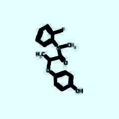 CC(Oc1ccc(O)cc1)C(=O)N(C)c1ccccc1F